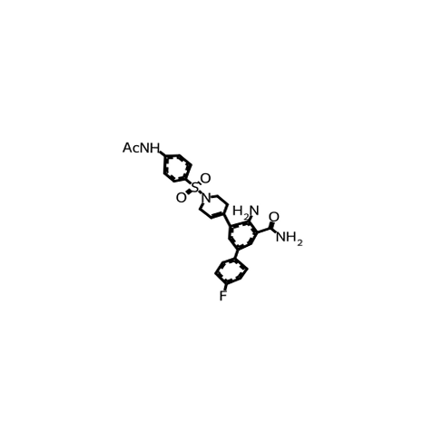 CC(=O)Nc1ccc(S(=O)(=O)N2CC=C(c3cc(-c4ccc(F)cc4)cc(C(N)=O)c3N)CC2)cc1